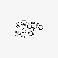 CC(C)(C)c1ccc(N(C(=O)[C@@H]2C3CO[C@@H]4OCC3CCC42)C(C(=O)N[C@@H]2c3ccccc3C[C@@H]2O)c2cccnc2)cc1